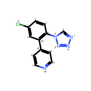 Clc1ccc(-n2cnnn2)c(-c2ccncc2)c1